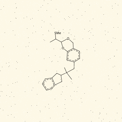 CSC(C)C1OCc2ccc(CC(C)(C)C3Cc4ccccc4C3)cc2O1